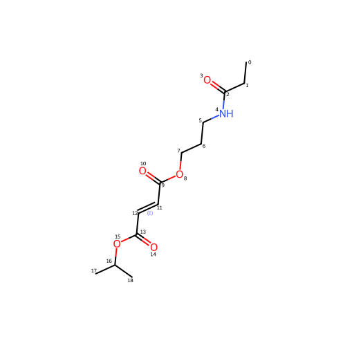 CCC(=O)NCCCOC(=O)/C=C/C(=O)OC(C)C